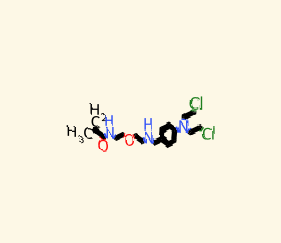 C=C(C)C(=O)NCCOCCNCc1ccc(N(CCCl)CCCl)cc1